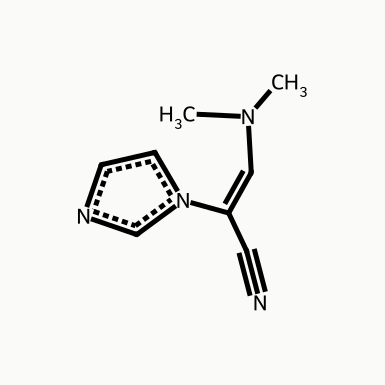 CN(C)/C=C(/C#N)n1ccnc1